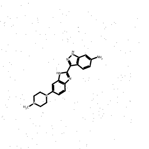 CN1CCN(c2ccc3nc(-c4n[nH]c5cc(N)ccc45)[nH]c3c2)CC1